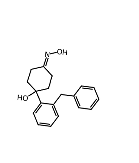 ON=C1CCC(O)(c2ccccc2Cc2ccccc2)CC1